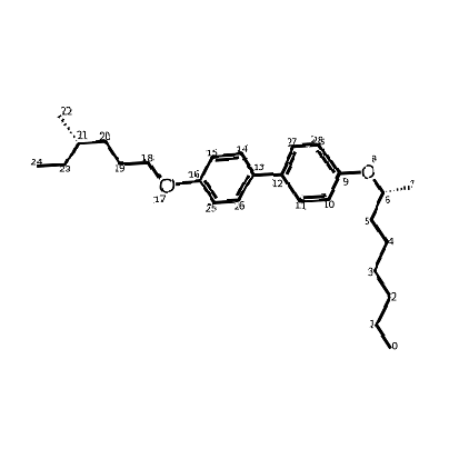 CCCCCC[C@@H](C)Oc1ccc(-c2ccc(OCCC[C@@H](C)CC)cc2)cc1